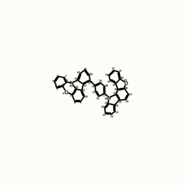 c1ccc2c(c1)Oc1cccc3c4c(-c5ccc(-n6c7ccccc7c7ccc8oc9ccccc9c8c76)cc5)cccc4n-2c13